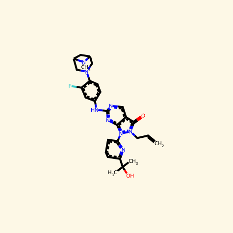 C=CCn1c(=O)c2cnc(Nc3ccc(N4CC5CC(C4)N5C)c(F)c3)nc2n1-c1cccc(C(C)(C)O)n1